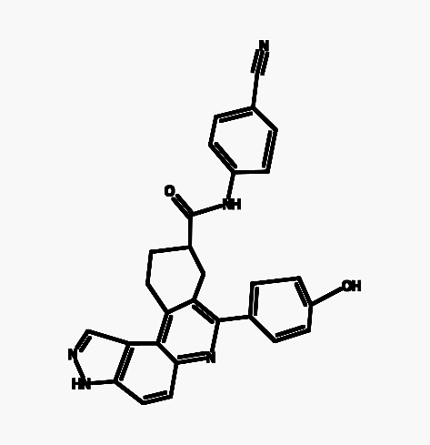 N#Cc1ccc(NC(=O)C2CCc3c(c(-c4ccc(O)cc4)nc4ccc5[nH]ncc5c34)C2)cc1